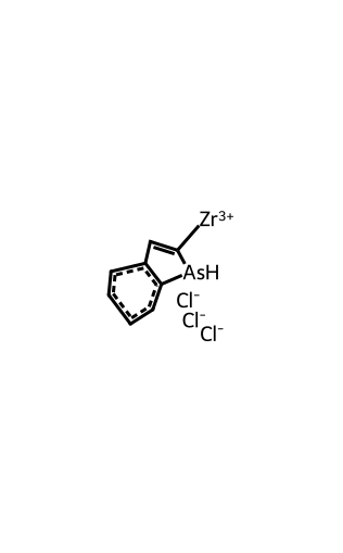 [Cl-].[Cl-].[Cl-].[Zr+3][C]1=Cc2ccccc2[AsH]1